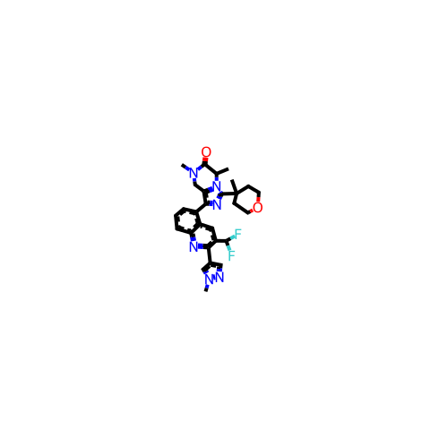 CC1C(=O)N(C)Cc2c(-c3cccc4nc(-c5cnn(C)c5)c(C(F)F)cc34)nc(C3(C)CCOCC3)n21